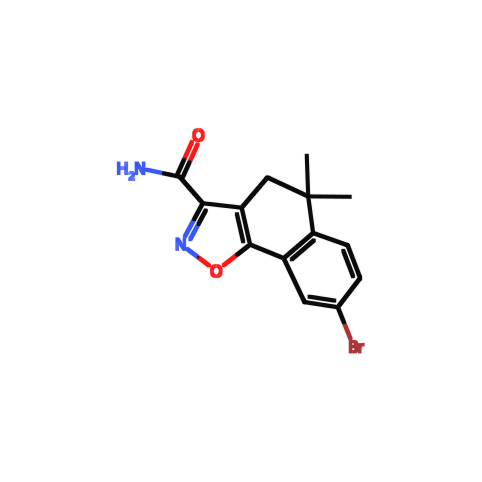 CC1(C)Cc2c(C(N)=O)noc2-c2cc(Br)ccc21